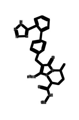 CCCCCc1c(Cc2ccc(-c3ccccc3-c3nnn[nH]3)cc2)c(=O)n2n1C(C(=O)NC(C)(C)C)CCC2C